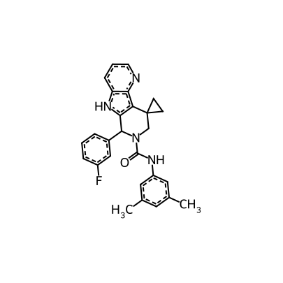 Cc1cc(C)cc(NC(=O)N2CC3(CC3)c3c([nH]c4cccnc34)C2c2cccc(F)c2)c1